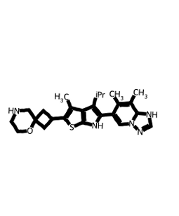 CC1=C(C)C2NC=NN2C=C1c1[nH]c2sc(C3CC4(CNCCO4)C3)c(C)c2c1C(C)C